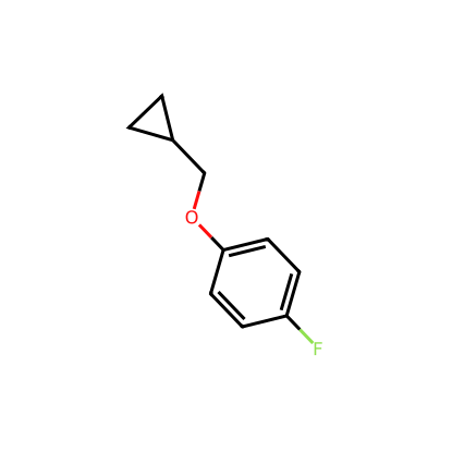 Fc1ccc(OCC2CC2)cc1